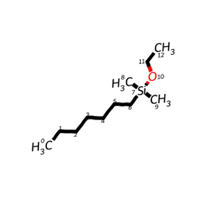 CCCCCCC[Si](C)(C)OCC